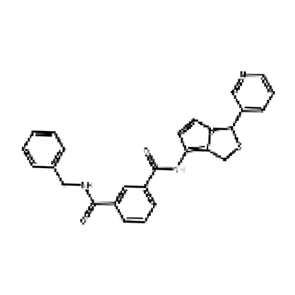 O=C(NCc1ccccc1)c1cccc(C(=O)Nc2ccn3c2CSC3c2cccnc2)c1